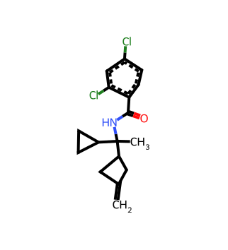 C=C1CC(C(C)(NC(=O)c2ccc(Cl)cc2Cl)C2CC2)C1